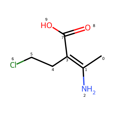 CC(N)=C(CCCl)C(=O)O